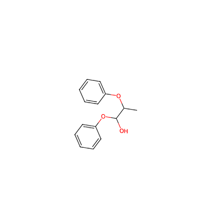 CC(Oc1ccccc1)C(O)Oc1ccccc1